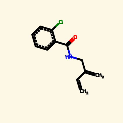 C=CC(=C)CNC(=O)c1ccccc1Cl